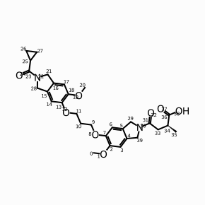 COc1cc2c(cc1OCCCOc1cc3c(cc1OC)CN(C(=O)C1CC1)C3)CN(C(=O)C[C@H](C)C(=O)O)C2